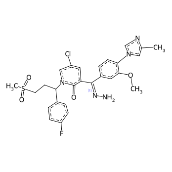 COc1cc(/C(=N\N)c2cc(Cl)cn(C(CCS(C)(=O)=O)c3ccc(F)cc3)c2=O)ccc1-n1cnc(C)c1